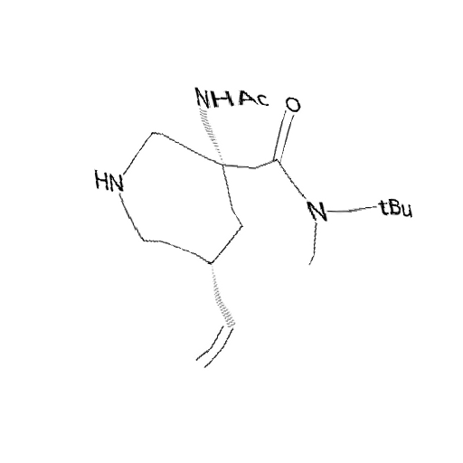 C=C[C@@H]1CNC[C@@](NC(C)=O)(C(=O)N(C)C(C)(C)C)C1